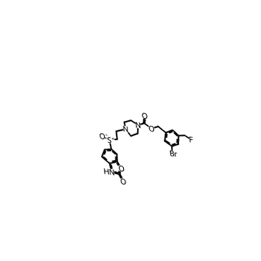 O=C(OCc1cc(Br)cc(CF)c1)N1CCN(CC[S@@+]([O-])c2ccc3[nH]c(=O)oc3c2)CC1